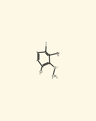 COc1c(Cl)c[c]c(I)c1Br